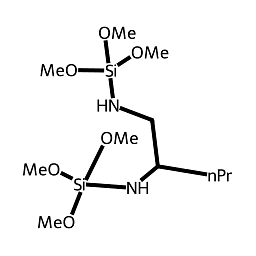 CCCC(CN[Si](OC)(OC)OC)N[Si](OC)(OC)OC